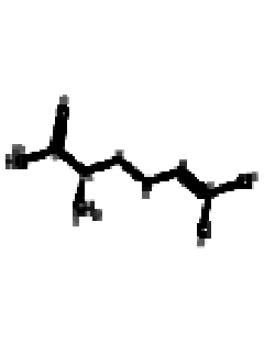 N[C@@H](CSC=C(Cl)Cl)C(=O)O